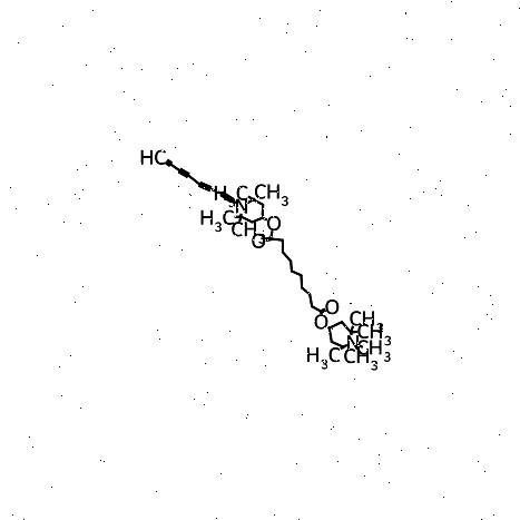 C#CC#CC#CC#CN1C(C)(C)CC(OC(=O)CCCCCCCCC(=O)OC2CC(C)(C)N(C)C(C)(C)C2)CC1(C)C